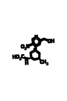 C[C@@H]1C[C@H](NC(=O)O)CN(c2cc(CO)ncc2[N+](=O)[O-])C1